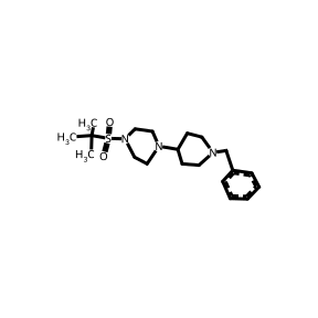 CC(C)(C)S(=O)(=O)N1CCN(C2CCN(Cc3ccccc3)CC2)CC1